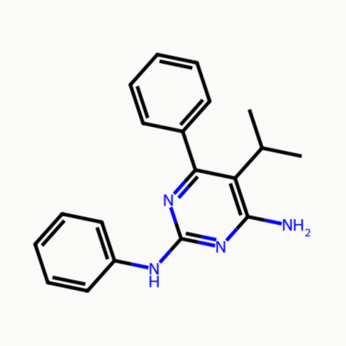 CC(C)c1c(N)nc(Nc2ccccc2)nc1-c1ccccc1